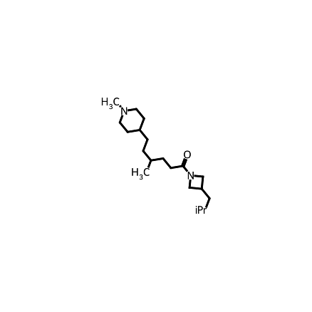 CC(C)CC1CN(C(=O)CCC(C)CCC2CCN(C)CC2)C1